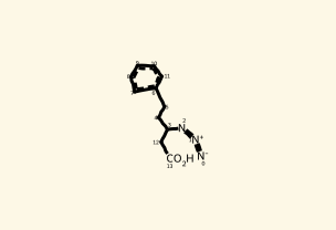 [N-]=[N+]=NC(CCc1ccccc1)CC(=O)O